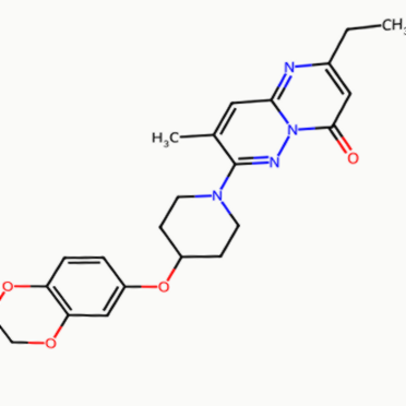 CCc1cc(=O)n2nc(N3CCC(Oc4ccc5c(c4)OCCO5)CC3)c(C)cc2n1